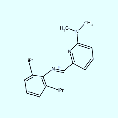 CC(C)c1cccc(C(C)C)c1/N=C/c1cccc(N(C)C)n1